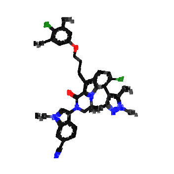 Cc1cc(OCCCc2c3n(c4c(-c5c(C)nn(C)c5C)c(Cl)ccc24)C(C)CN(c2cn(C)c4cc(C#N)ccc24)C3=O)cc(C)c1Cl